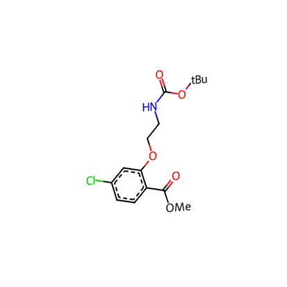 COC(=O)c1ccc(Cl)cc1OCCNC(=O)OC(C)(C)C